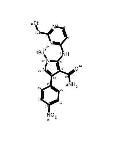 CCOc1nccc(Nc2c(C(N)=O)c(-c3ccc([N+](=O)[O-])cc3)nn2C(C)(C)C)n1